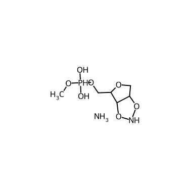 CO[PH](O)(O)OCC1OCC2ONOC12.N